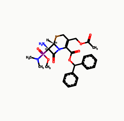 COP(=O)(N(C)C)[C@]1(N)C(=O)N2C(C(=O)OC(c3ccccc3)c3ccccc3)=C(COC(C)=O)CS[C@@H]21